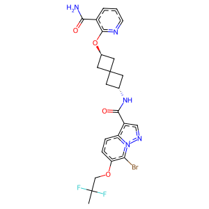 CC(F)(F)COc1ccc2c(C(=O)N[C@H]3CC4(C3)C[C@H](Oc3ncccc3C(N)=O)C4)cnn2c1Br